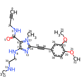 C#CCNC(=O)c1c(NCCNC)nc(C#Cc2ccc(OC)c(OC)c2)n1C